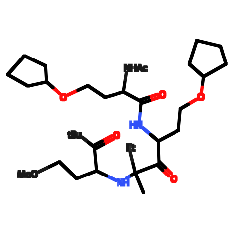 CCC(C)(NC(CCOC)C(=O)C(C)(C)C)C(=O)C(CCOC1CCCC1)NC(=O)C(CCOC1CCCC1)NC(C)=O